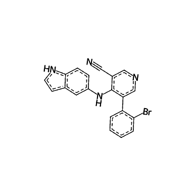 N#Cc1cncc(-c2ccccc2Br)c1Nc1ccc2[nH]ccc2c1